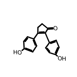 O=C1CCC(c2ccc(O)cc2)=C1c1ccc(O)cc1